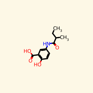 CCC(C)C(=O)Nc1ccc(O)c(C(=O)O)c1